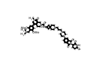 COc1cc(-c2cn(C)c(=O)c3c2CCN(C(=O)NC2CC4(CCN(CCCN5CCN(c6ccc7c(c6)C(=O)N(C6CCC(=O)NC6=O)C7=O)CC5)CC4)C2)C3)cc(OC)c1CN(C)C